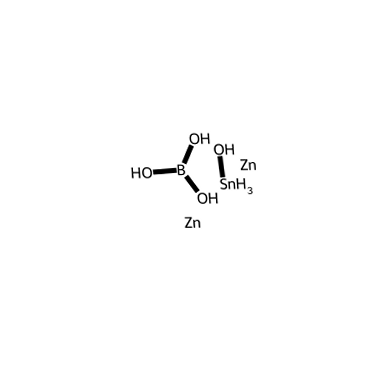 OB(O)O.[OH][SnH3].[Zn].[Zn]